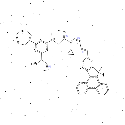 C/C=C\C(CCC)c1cc([C@H](C)C/C(=C\C)C(/C=C\C=C\c2ccc3c(c2)C(C)(I)c2c-3c3ccccc3c3ccccc23)=C2CC2)nc(C2=CC=CC=CC2)n1